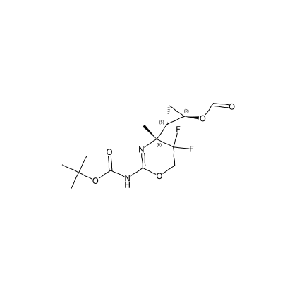 CC(C)(C)OC(=O)NC1=N[C@](C)([C@@H]2C[C@H]2OC=O)C(F)(F)CO1